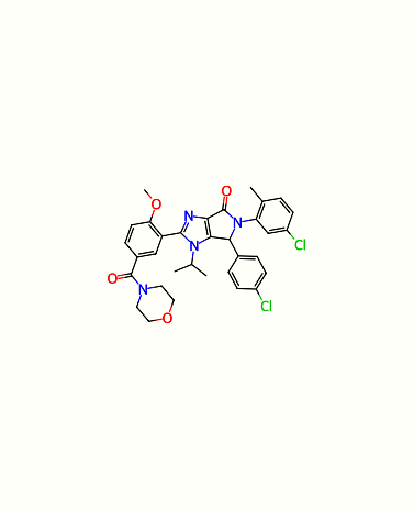 COc1ccc(C(=O)N2CCOCC2)cc1-c1nc2c(n1C(C)C)C(c1ccc(Cl)cc1)N(c1cc(Cl)ccc1C)C2=O